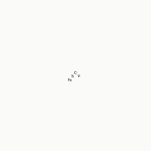 [C].[Fe].[Ti].[V]